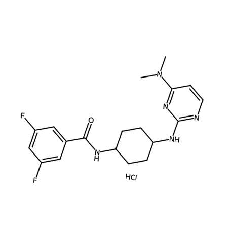 CN(C)c1ccnc(NC2CCC(NC(=O)c3cc(F)cc(F)c3)CC2)n1.Cl